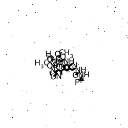 Cc1c(-c2cc3cc(NC(=O)N[C@H]4C[C@H]4F)ncc3c(NC(=O)OC(C)(C)C)c2F)cnc2c1N(C(=O)OC(C)(C)C)CCO2